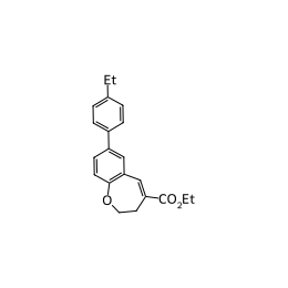 CCOC(=O)C1=Cc2cc(-c3ccc(CC)cc3)ccc2OCC1